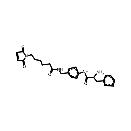 NC(Cc1ccccc1)C(=O)Nc1ccc(CNC(=O)CCCCCN2C(=O)C=CC2=O)cc1